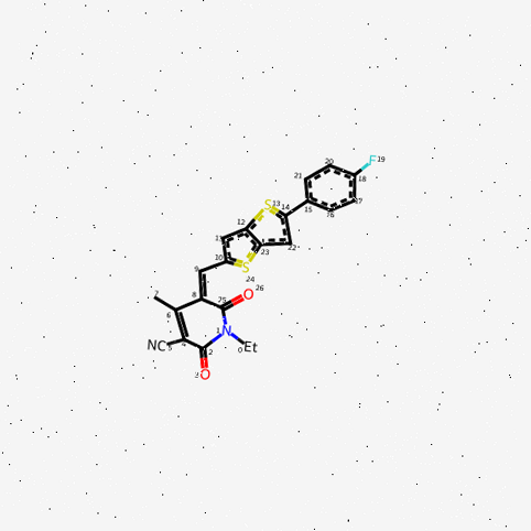 CCN1C(=O)C(C#N)=C(C)/C(=C/c2cc3sc(-c4ccc(F)cc4)cc3s2)C1=O